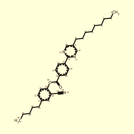 CCCCCCCCCc1cnc(-c2ccc(C(=O)Oc3ccc(CCCCC)cc3C#N)cc2)nc1